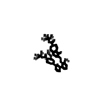 CO[C@@H]1CN(c2cccc(-c3cccc(C)c3OCc3ccc4c(c3F)CCN(C(=O)OC(C)(C)C)CC4)n2)CC[C@@H]1C(=O)OC(C)(C)C